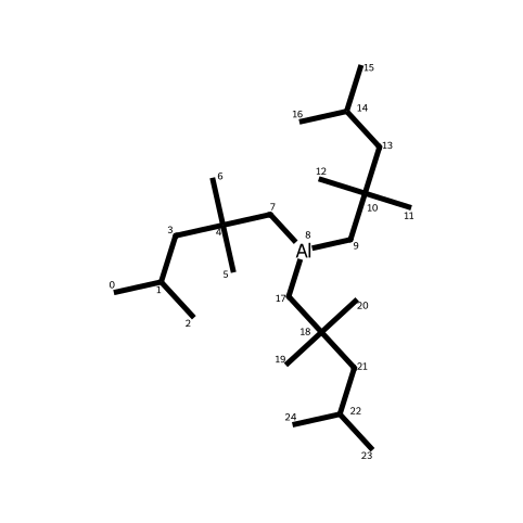 CC(C)CC(C)(C)[CH2][Al]([CH2]C(C)(C)CC(C)C)[CH2]C(C)(C)CC(C)C